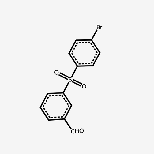 O=Cc1cccc(S(=O)(=O)c2ccc(Br)cc2)c1